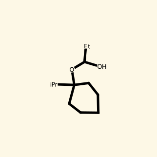 CCC(O)OC1(C(C)C)CCCCC1